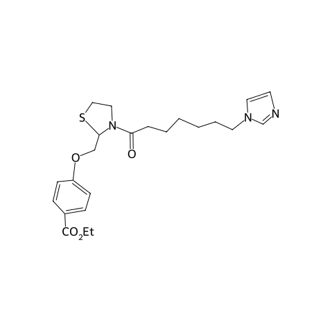 CCOC(=O)c1ccc(OCC2SCCN2C(=O)CCCCCCn2ccnc2)cc1